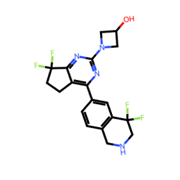 OC1CN(c2nc(-c3ccc4c(c3)C(F)(F)CNC4)c3c(n2)C(F)(F)CC3)C1